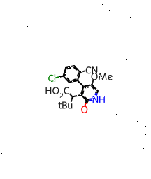 COc1c[nH]c(=O)c(C(C(=O)O)C(C)(C)C)c1-c1cc(Cl)ccc1C#N